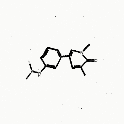 Cc1cc(-c2cccc(N[S+](C)[O-])c2)cn(C)c1=O